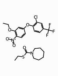 CCOc1cc(Oc2ccc(C(F)(F)F)cc2Cl)ccc1[N+](=O)[O-].CCSC(=O)N1CCCCCC1